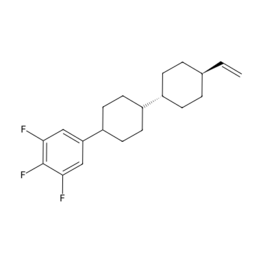 C=C[C@H]1CC[C@H](C2CCC(c3cc(F)c(F)c(F)c3)CC2)CC1